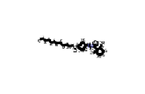 CCCCCCCCCCCCSc1ccc(/C=C/C(=O)c2c(C)cccc2C)cc1